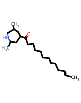 C/C=C/CCCCCCCCCC(=O)C1CC(C)CNC(C)C1